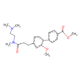 COC(=O)c1ccc(-c2ccc(CCC(=O)N(C)CCN(C)C)cc2OC)cc1